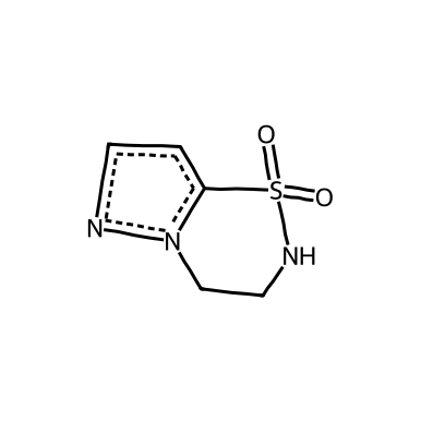 O=S1(=O)NCCn2nccc21